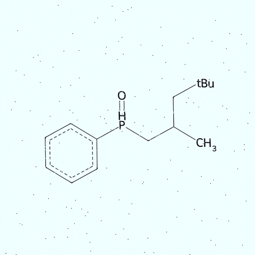 CC(C[PH](=O)c1ccccc1)CC(C)(C)C